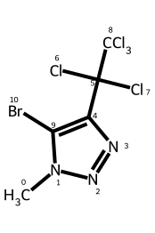 Cn1nnc(C(Cl)(Cl)C(Cl)(Cl)Cl)c1Br